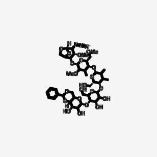 COC[C@@H]1O[C@@H](O[C@H]2C3CO[C@H](O3)C(N=[N+]=[N-])[C@@H]2OC)C(OC)C(C)[C@@H]1O[C@H]1O[C@@H](CO)[C@@H](O[C@@H]2OC(CO)[C@@H](O[C@@H]3OC4COC(c5ccccc5)O[C@H]4[C@H](O)C3O)[C@H](O)C2O)C(C)C1C